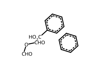 O=C(O)c1ccccc1.O=COC=O.c1ccccc1